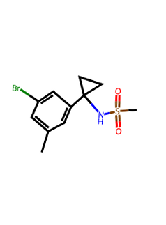 Cc1cc(Br)cc(C2(NS(C)(=O)=O)CC2)c1